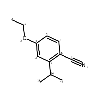 CCOc1ccc(C#N)c([C](C)C)c1